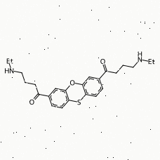 CCNCCCC(=O)c1ccc2c(c1)Oc1cc(C(=O)CCCNCC)ccc1S2